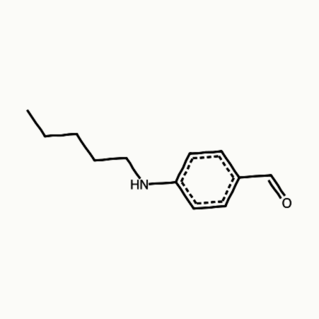 CCCCCNc1ccc(C=O)cc1